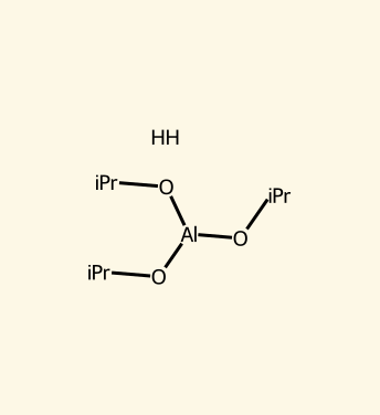 CC(C)[O][Al]([O]C(C)C)[O]C(C)C.[HH]